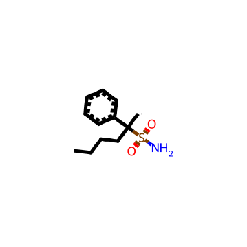 [CH2]C(CCCC)(c1ccccc1)S(N)(=O)=O